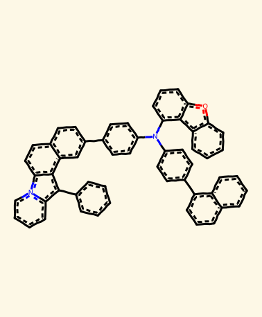 c1ccc(-c2c3c4cc(-c5ccc(N(c6ccc(-c7cccc8ccccc78)cc6)c6cccc7oc8ccccc8c67)cc5)ccc4ccc3n3ccccc23)cc1